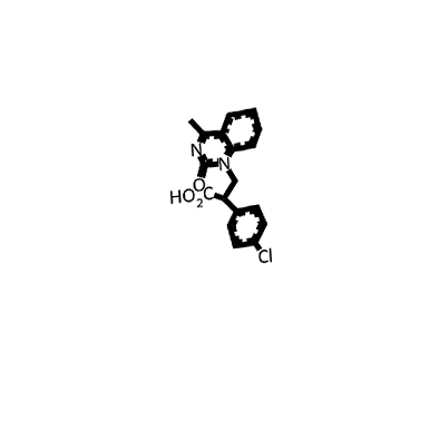 Cc1nc(=O)n(CC(C(=O)O)c2ccc(Cl)cc2)c2ccccc12